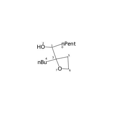 CCCCCC(O)C1(CCCC)CCO1